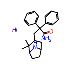 CC1(C)C(CC(C(N)=O)(c2ccccc2)c2ccccc2)CC2CCC1N2.I